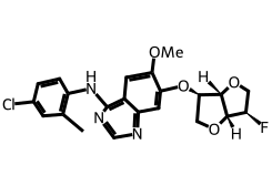 COc1cc2c(Nc3ccc(Cl)cc3C)ncnc2cc1O[C@@H]1CO[C@@H]2[C@H]1OC[C@H]2F